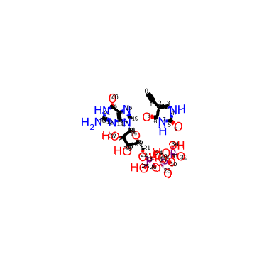 C#Cc1c[nH]c(=O)[nH]c1=O.Nc1nc2c(ncn2[C@@H]2O[C@H](COP(=O)(O)OP(=O)(O)OP(=O)(O)O)[C@@H](O)[C@H]2O)c(=O)[nH]1